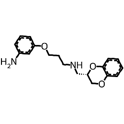 Nc1cccc(OCCCNC[C@H]2COc3ccccc3O2)c1